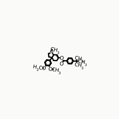 COc1ccc(C23CCC(OC(=O)c4ccc(C(C)(C)C)cc4)=CC2N(C)CC3)cc1OC